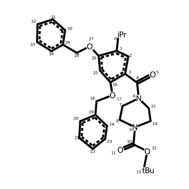 CC(C)c1cc(C(=O)N2CCN(C(=O)OC(C)(C)C)CC2)c(OCc2ccccc2)cc1OCc1ccccc1